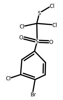 O=S(=O)(c1ccc(Br)c(Cl)c1)C(Cl)(Cl)SCl